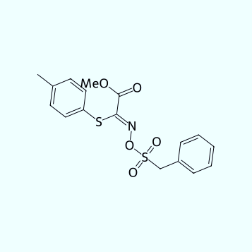 COC(=O)/C(=N/OS(=O)(=O)Cc1ccccc1)Sc1ccc(C)cc1